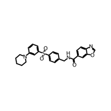 O=C(NCc1ccc(S(=O)(=O)c2cccc(N3CCCCC3)c2)cc1)c1ccc2ncoc2c1